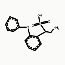 NCC(c1ccccc1Oc1ccccc1)S(=O)(=O)O